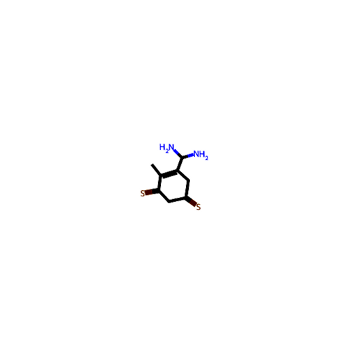 CC1=C(C(N)N)CC(=S)CC1=S